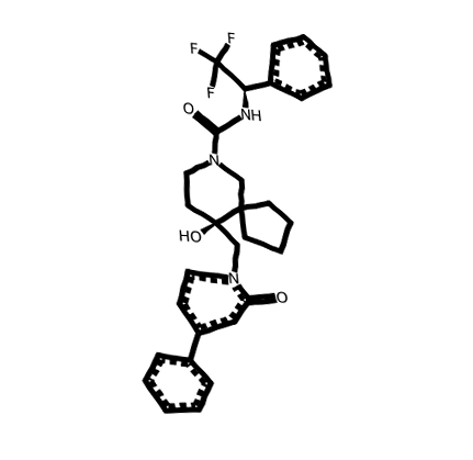 O=C(N[C@H](c1ccccc1)C(F)(F)F)N1CC[C@@](O)(Cn2ccc(-c3ccccc3)cc2=O)C2(CCCC2)C1